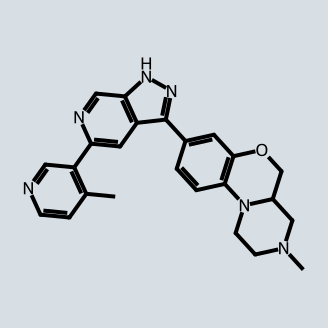 Cc1ccncc1-c1cc2c(-c3ccc4c(c3)OCC3CN(C)CCN43)n[nH]c2cn1